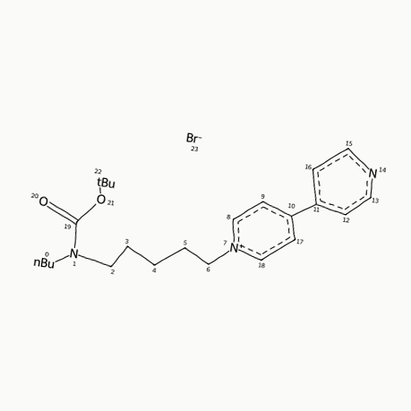 CCCCN(CCCCC[n+]1ccc(-c2ccncc2)cc1)C(=O)OC(C)(C)C.[Br-]